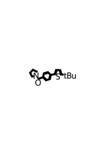 CC(C)(C)c1ccc(-c2ccc(C(=O)N3CCCC3)cc2)s1